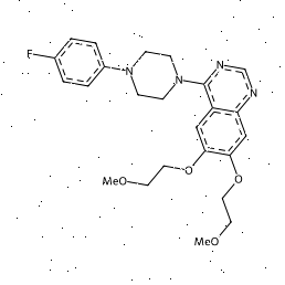 COCCOc1cc2ncnc(N3CCN(c4ccc(F)cc4)CC3)c2cc1OCCOC